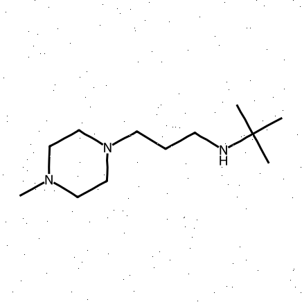 CN1CCN(CCCNC(C)(C)C)CC1